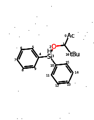 CC(=O)C(O[SiH](c1ccccc1)c1ccccc1)C(C)(C)C